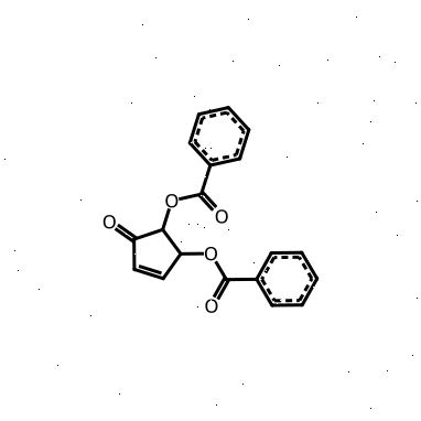 O=C(OC1C=CC(=O)C1OC(=O)c1ccccc1)c1ccccc1